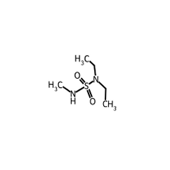 CCN(CC)S(=O)(=O)NC